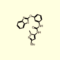 Cn1nc(C(C)(C)C)cc1NC(=O)Nc1cccc(Oc2nc3ccccc3s2)c1